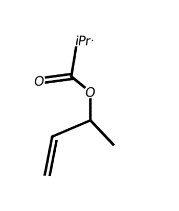 C=CC(C)OC(=O)[C](C)C